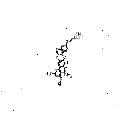 CNCCOc1ccc2c(Oc3c(F)cc(-c4nc(C)cc(OC5CC5)c4C(N)=O)cc3F)ccnc2c1